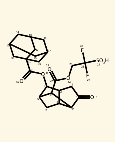 O=C1CC2C3CC(C2OC(=O)C24CC5CC(CC(C5)C2)C4)C(C(=O)OCC(F)(F)S(=O)(=O)O)C13